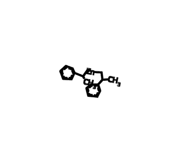 CC([CH2][Zn][CH2]C(C)c1ccccc1)c1ccccc1